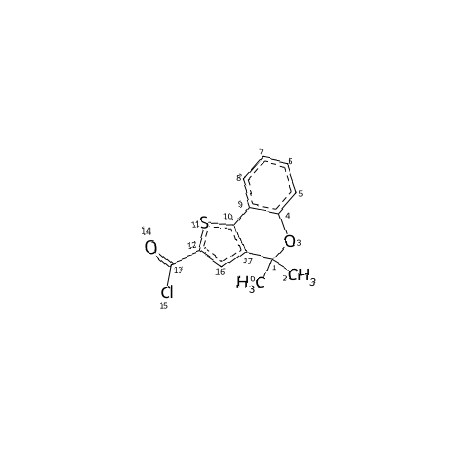 CC1(C)Oc2ccccc2-c2sc(C(=O)Cl)cc21